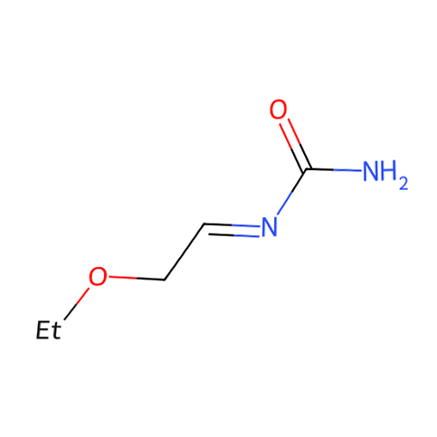 CCOCC=NC(N)=O